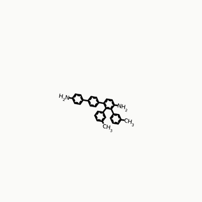 Cc1cccc(-c2c(N)ccc(-c3ccc(-c4ccc(N)cc4)cc3)c2-c2cccc(C)c2)c1